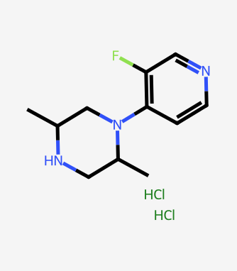 CC1CN(c2ccncc2F)C(C)CN1.Cl.Cl